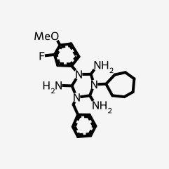 COc1ccc(N2C(N)N(Cc3ccccc3)C(N)N(C3CCCCCC3)C2N)cc1F